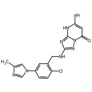 CCCc1cc(=O)n2nc(NCc3cc(-n4cnc(C)c4)ccc3Cl)nc2[nH]1